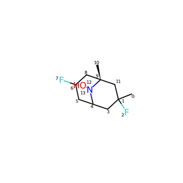 CC1(F)CC2CC(F)C[C@](C)(C1)N2O